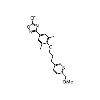 COCc1ccc(CCCOc2c(C)cc(-c3noc(C(F)(F)F)n3)cc2C)cn1